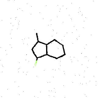 CC1CC(F)C2CCCCC12